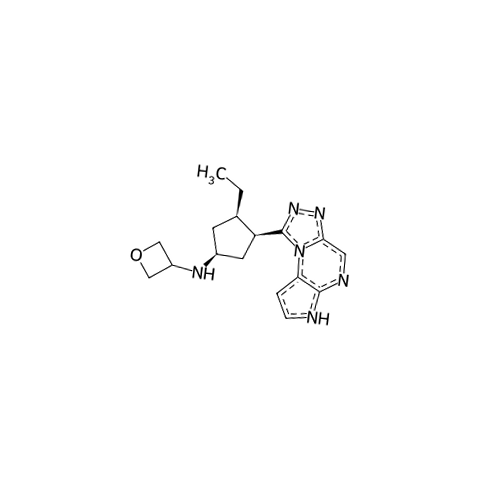 CC[C@@H]1C[C@H](NC2COC2)C[C@@H]1c1nnc2cnc3[nH]ccc3n12